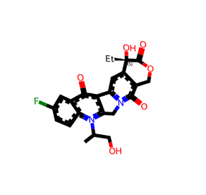 CC[C@@]1(O)C(=O)OCc2c1cc1n(c2=O)Cc2c-1c(=O)c1cc(F)ccc1n2C(C)CO